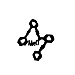 COC(C#Cc1ccccc1C#Cc1ccccc1)c1ccccc1C#Cc1ccccc1